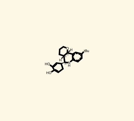 CC(C)(C)c1ccc2c(c1)[C@H]1OCCC[C@H]1[C@H](C1C=C(O)C(O)=CC1)N2